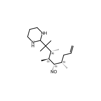 C=CC[C@H](C)[C@H](N=O)[C@@H](C)[C@@H](C)C(C)(C)C1NCCCN1